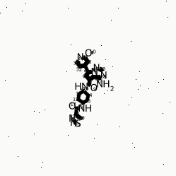 COc1cc(-c2cc(C(=O)N[C@H]3CC[C@H](NC(=O)c4csnn4)CC3)c3c(N)ncnn23)ccn1